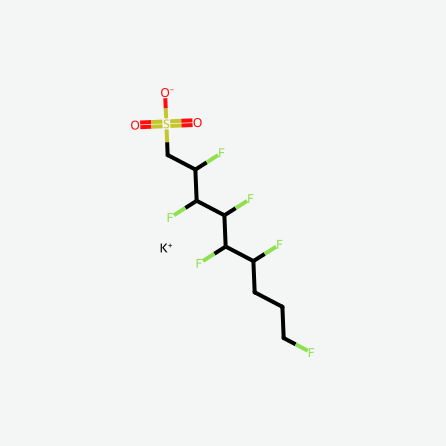 O=S(=O)([O-])CC(F)C(F)C(F)C(F)C(F)CCCF.[K+]